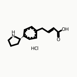 Cl.O=C(O)/C=C/Cc1ccc([C@@H]2CCCN2)cc1